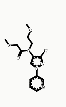 COCCN(C(=O)CSC)c1cn(-c2cccnc2)nc1Cl